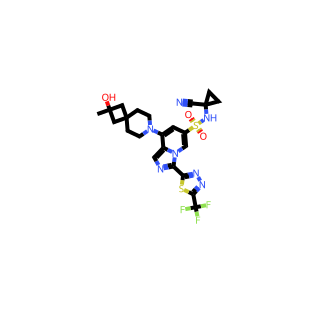 CC1(O)CC2(CCN(c3cc(S(=O)(=O)NC4(C#N)CC4)cn4c(-c5nnc(C(F)(F)F)s5)ncc34)CC2)C1